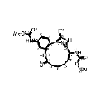 COC(=O)Nc1ccc2c(c1)NC(=O)CCCCC(NC(=O)OC(C)(C)C)c1nc-2c(F)[nH]1